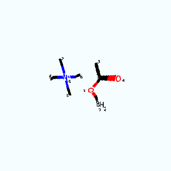 BOC(C)=O.C[N+](C)(C)C